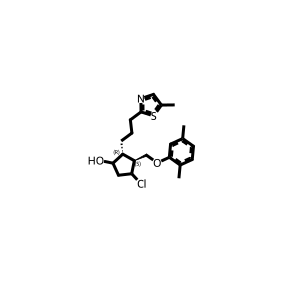 Cc1ccc(C)c(OC[C@H]2C(Cl)CC(O)[C@@H]2CCCc2ncc(C)s2)c1